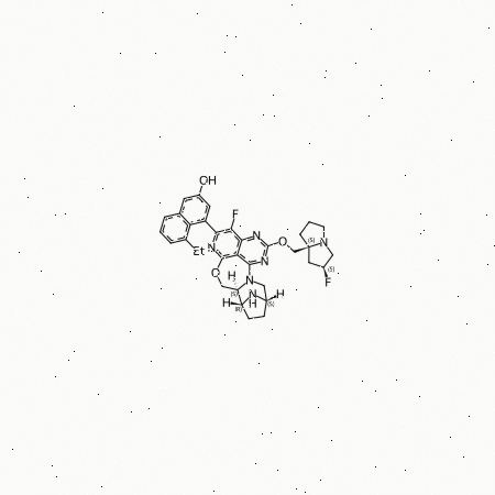 CCc1cccc2cc(O)cc(-c3nc4c5c(nc(OC[C@@]67CCCN6C[C@@H](F)C7)nc5c3F)N3C[C@@H]5CC[C@@H](N5)[C@H]3CO4)c12